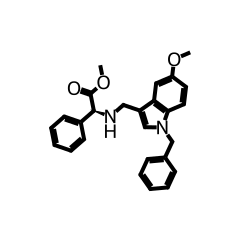 COC(=O)[C@@H](NCc1cn(Cc2ccccc2)c2ccc(OC)cc12)c1ccccc1